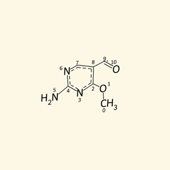 COc1nc(N)ncc1[C]=O